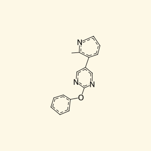 Cc1ncccc1-c1cnc(Oc2ccccc2)nc1